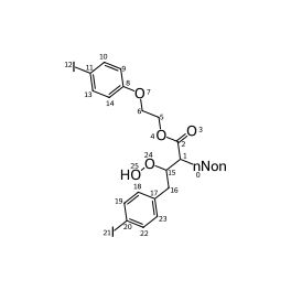 CCCCCCCCCC(C(=O)OCCOc1ccc(I)cc1)C(Cc1ccc(I)cc1)OO